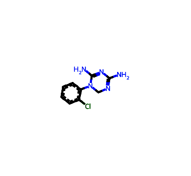 NC1=NCN(c2ccccc2Cl)C(N)=N1